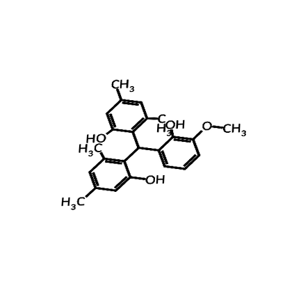 COc1cccc(C(c2c(C)cc(C)cc2O)c2c(C)cc(C)cc2O)c1O